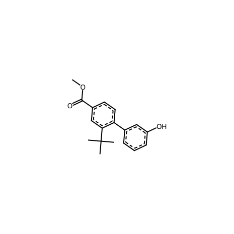 COC(=O)c1ccc(-c2cccc(O)c2)c(C(C)(C)C)c1